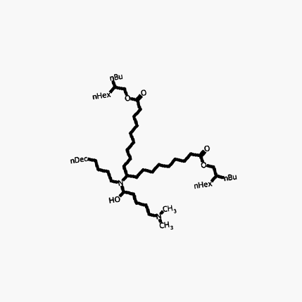 CCCCCCCCCCCCCCN(C(O)CCCCN(C)C)C(CCCCCCCCC(=O)OCC(CCCC)CCCCCC)CCCCCCCCC(=O)OCC(CCCC)CCCCCC